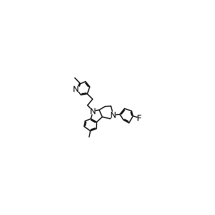 Cc1ccc2c(c1)C1CN(c3ccc(F)cc3)CCC1N2CCc1ccc(C)nc1